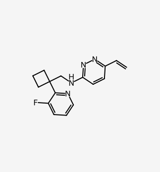 C=Cc1ccc(NCC2(c3ncccc3F)CCC2)nn1